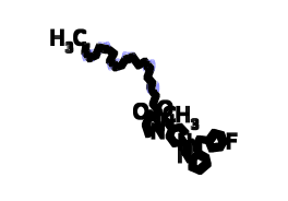 CC/C=C\C/C=C\C/C=C\C/C=C\C/C=C\C/C=C/CCC(=O)n1c(N(C)C2CCN(c3nc4ccccc4n3Cc3ccc(F)cc3)CC2)nccc1=O